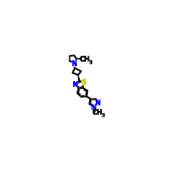 CC1CCCN1[C@H]1C[C@H](c2nc3ccc(-c4cnn(C)c4)cc3s2)C1